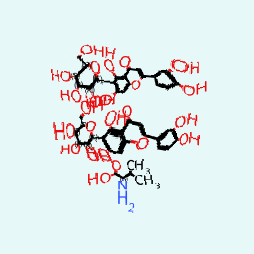 CC(C)[C@H](N)C(=O)O.O=c1cc(-c2ccc(O)c(O)c2)oc2cc(O)c([C@@H]3O[C@H](CO)[C@@H](O)[C@H](O)[C@H]3O)c(O)c12.O=c1cc(-c2ccc(O)c(O)c2)oc2cc(O)c([C@@H]3O[C@H](CO)[C@@H](O)[C@H](O)[C@H]3O)c(O)c12